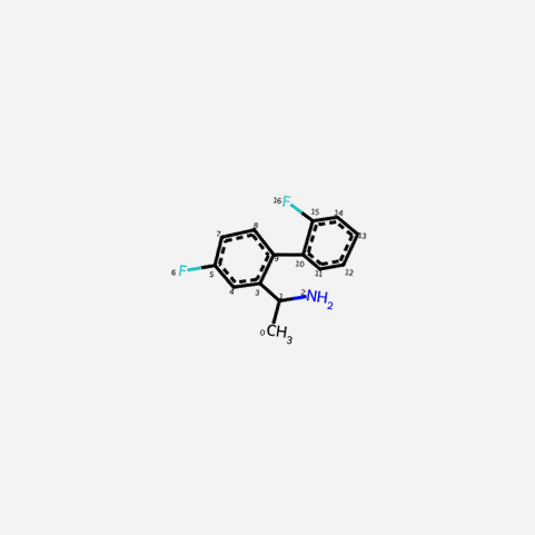 CC(N)c1cc(F)ccc1-c1ccccc1F